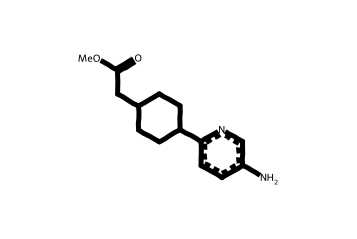 COC(=O)CC1CCC(c2ccc(N)cn2)CC1